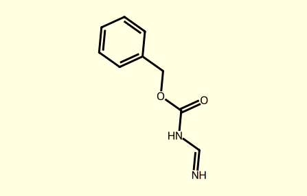 N=CNC(=O)OCc1ccccc1